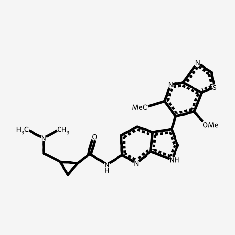 COc1nc2ncsc2c(OC)c1-c1c[nH]c2nc(NC(=O)C3CC3CN(C)C)ccc12